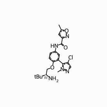 Cc1cc(C(=O)Nc2ccc(OC[C@@H](N)C(C)(C)C)c(-c3c(Cl)cnn3C)c2)no1